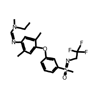 CCN(C)/C=N\c1cc(C)c(Oc2cccc(S(C)(=O)=NCC(F)(F)F)c2)cc1C